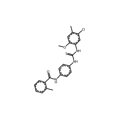 COc1cc(C)c(Cl)cc1NC(=S)Nc1ccc(NC(=O)c2ccccc2C)cc1